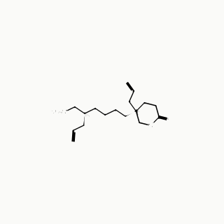 C=CC[C@H](CCCC[C@@]1(CC=C)CCC(=O)NC1)CNC